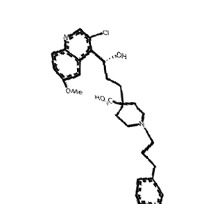 COc1ccc2ncc(Cl)c([C@H](O)CCC3(C(=O)O)CCN(CCCc4cccnc4)CC3)c2c1